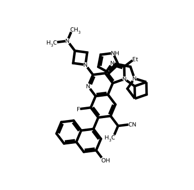 CCc1nc2c(N3CC(N(C)C)C3)nc3c(F)c(-c4cc(O)cc5ccccc45)c(C(C)C#N)cc3c2n1C1C2CC1N(Cc1ccc[nH]1)C2